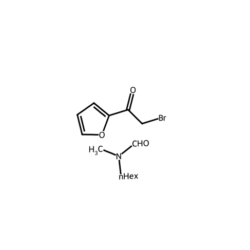 CCCCCCN(C)C=O.O=C(CBr)c1ccco1